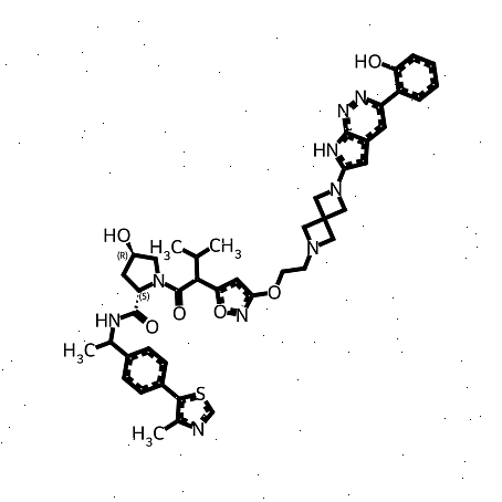 Cc1ncsc1-c1ccc(C(C)NC(=O)[C@@H]2C[C@@H](O)CN2C(=O)C(c2cc(OCCN3CC4(C3)CN(c3cc5cc(-c6ccccc6O)nnc5[nH]3)C4)no2)C(C)C)cc1